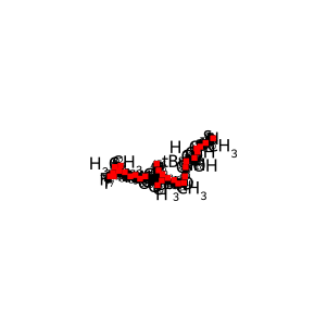 Cc1ncsc1-c1ccc([C@H](C)NC(=O)[C@@H]2C[C@@H](O)CN2C(=O)[C@@H](NC(=O)CCCCC(=O)N(C)C2CCN(CC[C@H](CSc3ccccc3)Nc3ccc(S(=O)(=O)NC(=O)c4ccc(N5CCN(CC6=C(C78CC(C(F)F)(C7)C8)CC(C)(C)CC6)CC5)cc4)cc3S(=O)(=O)C(F)(F)F)CC2)C(C)(C)C)cc1